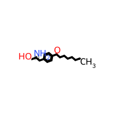 CCCCCCCC(=O)c1ccc(C[C@H](N)CO)cc1